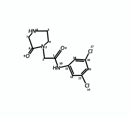 O=C(CN1CCNCC1=O)Nc1cc(Cl)cc(Cl)c1